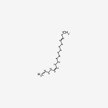 [CH2]C/C=C/CCCCCCCC/C=C\CCCC